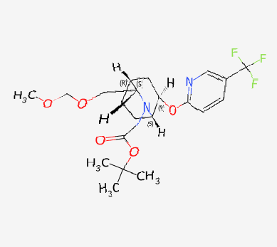 COCOC[C@@H]1[C@@H]2CC[C@@H]([C@H](Oc3ccc(C(F)(F)F)cn3)C2)N1C(=O)OC(C)(C)C